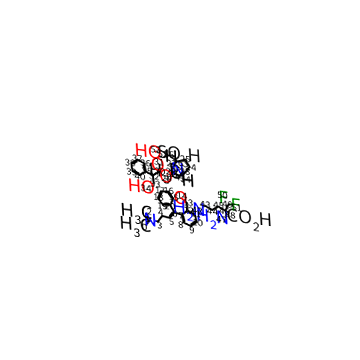 CN(C)CCC=C1c2ccccc2COc2ccccc21.CN1[C@@H]2CC[C@H]1C[C@@H](OC(=O)C(CO)c1ccccc1)C2.NCCCC(N)(C(=O)O)C(F)F.O=S(=O)(O)O